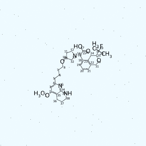 COc1cc(CCCCO[C@@H]2CCN([C@H](C(=O)O)c3cccc4c3CC(C(C)(C)F)OC4)C2)nc2c1CCCN2